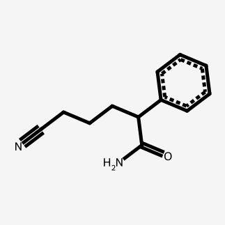 N#CCCCC(C(N)=O)c1ccccc1